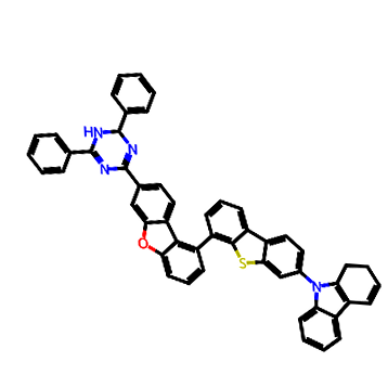 C1=Cc2c(n(-c3ccc4c(c3)sc3c(-c5cccc6oc7cc(C8=NC(c9ccccc9)NC(c9ccccc9)=N8)ccc7c56)cccc34)c3ccccc23)CC1